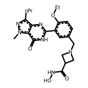 CCCc1nn(C)c2c(=O)[nH]c(-c3cc(CN4CC(C(=O)NO)C4)ccc3OCC)nc12